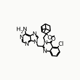 COC1(Cn2c(Cn3cnc4c(N)ncnc43)nc3cccc(Cl)c3c2=O)C=CC2CC1C2(C)C